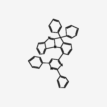 c1ccc(-c2cc(-c3cccc4c3-n3c(nc5ccccc53)C4(c3ccccc3)c3ccccc3)nc(-c3ccccc3)n2)cc1